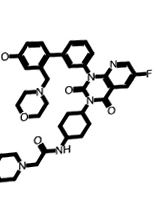 O=C(CN1CCCCC1)NC1CCC(n2c(=O)c3cc(F)cnc3n(-c3cccc(-c4ccc(O)cc4CN4CCOCC4)c3)c2=O)CC1